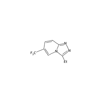 CCc1nnc2ccc(C(F)(F)F)cn12